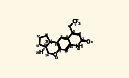 O=c1cc(CC(F)(F)F)c2cc3c(cc2[nH]1)OC[C@H]1CCCN31